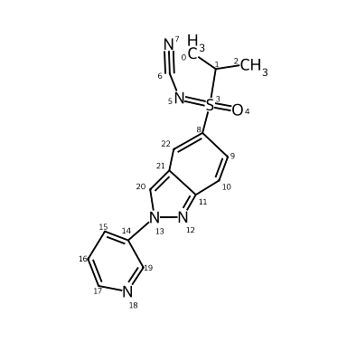 CC(C)S(=O)(=NC#N)c1ccc2nn(-c3cccnc3)cc2c1